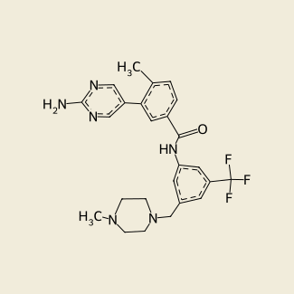 Cc1ccc(C(=O)Nc2cc(CN3CCN(C)CC3)cc(C(F)(F)F)c2)cc1-c1cnc(N)nc1